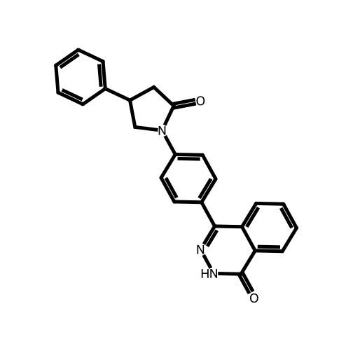 O=C1CC(c2ccccc2)CN1c1ccc(-c2n[nH]c(=O)c3ccccc23)cc1